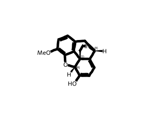 COc1ccc2c3c1O[C@H]1C(O)=CC=C4[C@@H](C2)NCC[C@]431